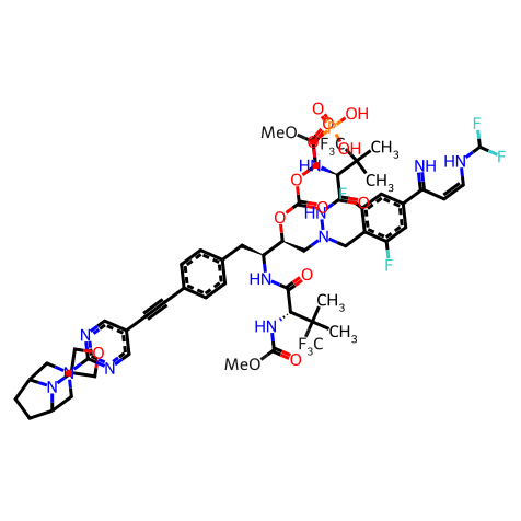 COC(=O)N[C@H](C(=O)N[C@@H](Cc1ccc(C#Cc2cnc(N3CC4CCC(C3)N4C3COC3)nc2)cc1)[C@H](CN(Cc1c(F)cc(C(=N)/C=C\NC(F)F)cc1F)NC(=O)[C@@H](NC(=O)OC)C(C)(C)C(F)(F)F)OC(=O)OCOP(=O)(O)O)C(C)(C)C(F)(F)F